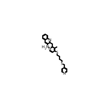 Cc1c(SCCCCSCc2ccncc2)ccnc1Cc1nc2ccccc2cc1N